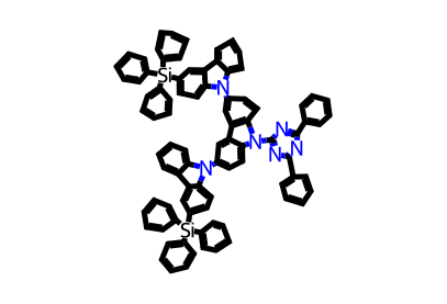 c1ccc(-c2nc(-c3ccccc3)nc(-n3c4ccc(-n5c6ccccc6c6cc([Si](c7ccccc7)(c7ccccc7)c7ccccc7)ccc65)cc4c4cc(-n5c6ccccc6c6cc([Si](c7ccccc7)(c7ccccc7)c7ccccc7)ccc65)ccc43)n2)cc1